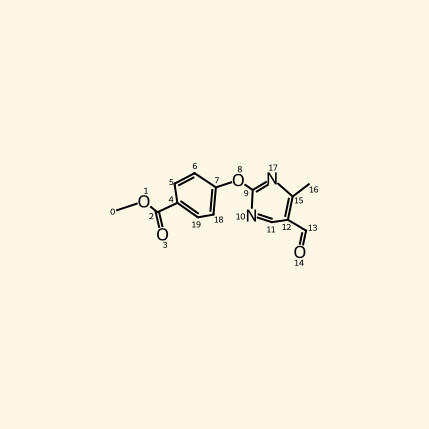 COC(=O)c1ccc(Oc2ncc(C=O)c(C)n2)cc1